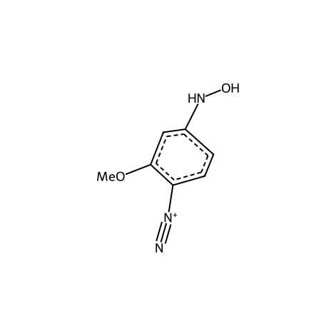 COc1cc(NO)ccc1[N+]#N